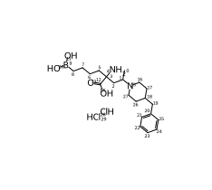 CC(CC(N)(CCCCB(O)O)C(=O)O)N1CCC(Cc2ccccc2)CC1.Cl.Cl